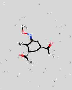 CO/N=C1/C[C@@H](C(C)=O)C[C@H](C(C)=O)C1C